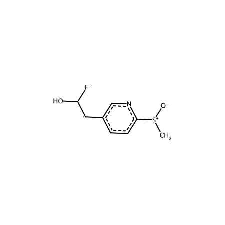 C[S+]([O-])c1ccc([CH]C(O)F)cn1